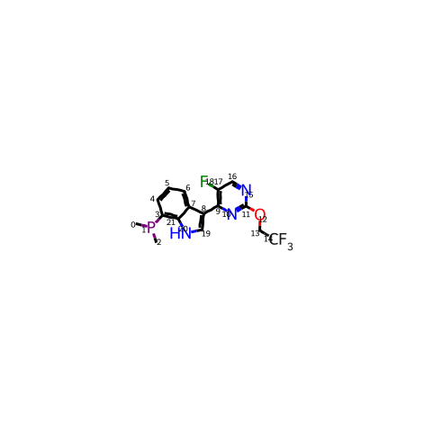 CP(C)c1cccc2c(-c3nc(OCC(F)(F)F)ncc3F)c[nH]c12